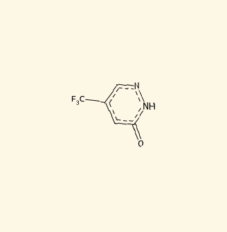 O=c1cc(C(F)(F)F)cn[nH]1